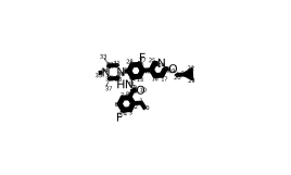 CCc1cc(F)ccc1C(=O)Nc1cc(-c2ccc(OCC3CC3)nc2)c(F)cc1N1C[C@@H](C)N(C)[C@@H](C)C1